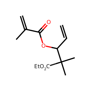 C=CC(OC(=O)C(=C)C)C(C)(C)C(=O)OCC